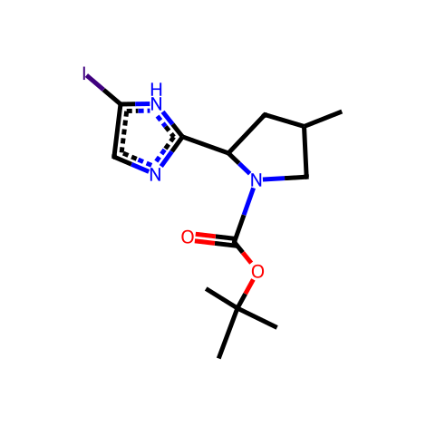 CC1CC(c2ncc(I)[nH]2)N(C(=O)OC(C)(C)C)C1